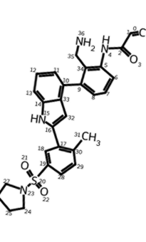 C=CC(=O)Nc1cccc(-c2cccc3[nH]c(-c4cc(S(=O)(=O)N5CCCC5)ccc4C)cc23)c1CN